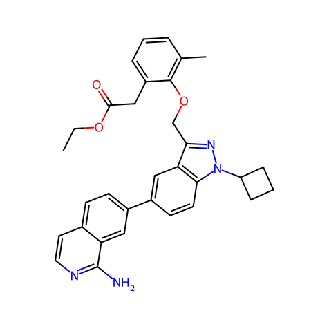 CCOC(=O)Cc1cccc(C)c1OCc1nn(C2CCC2)c2ccc(-c3ccc4ccnc(N)c4c3)cc12